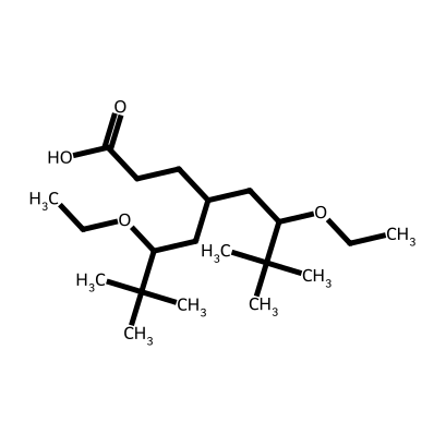 CCOC(CC(CCC(=O)O)CC(OCC)C(C)(C)C)C(C)(C)C